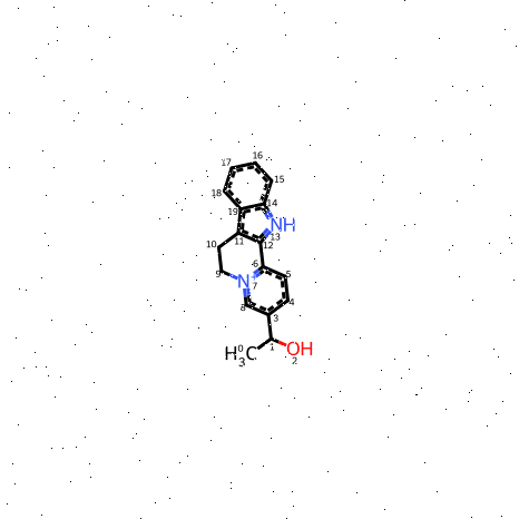 CC(O)c1ccc2[n+](c1)CCc1c-2[nH]c2ccccc12